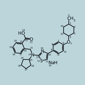 CC1CCC(Oc2ccc(-c3csc(N(Cc4ccccc4C(=O)O)C4CCCC4)n3)cc2)CC1.[NaH]